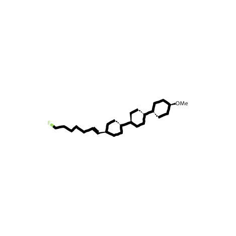 CO[C@H]1CC[C@H]([C@H]2CC[C@H]([C@H]3CC[C@H](C=CCCCCCF)CC3)CC2)CC1